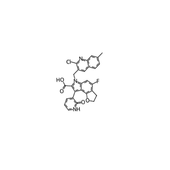 Cc1ccc2cc(Cn3c(C(=O)O)c(-c4ccc[nH]c4=O)c4c5c(c(F)cc43)CCO5)c(Cl)nc2c1